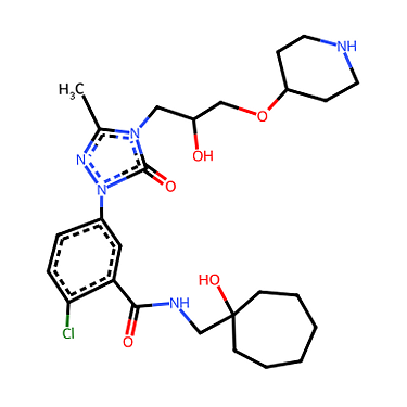 Cc1nn(-c2ccc(Cl)c(C(=O)NCC3(O)CCCCCC3)c2)c(=O)n1CC(O)COC1CCNCC1